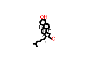 CC(C)CCC[C@@H](C)[C@H]1C(C=O)C[C@H]2[C@@H]3CC=C4C[C@H](O)CC[C@]4(C)[C@H]3CC[C@]12C